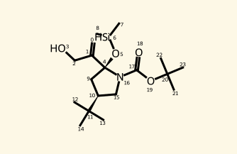 C=C(CO)[C@@]1(O[SiH](C)C)C[C@H](C(C)(C)C)CN1C(=O)OC(C)(C)C